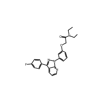 CCN(CC)C(=O)COc1cccc(-n2nc(-c3ccc(F)cc3)c3cccnc32)c1